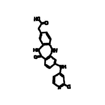 O=C(O)Cc1ccc2c(c1)NC(=O)c1ccc(Nc3ccnc(Cl)c3)cc1N2